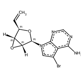 C=C[C@H]1O[C@@H](n2cc(Br)c3c(N)ncnc32)[C@@H]2O[C@@H]21